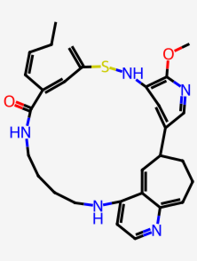 C=C1/C=C(\C=C/CC)C(=O)NCCCCNc2ccnc3c2=CC(CCC=3)c2cnc(OC)c(c2)NS1